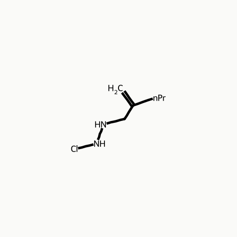 C=C(CCC)CNNCl